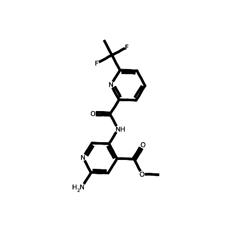 COC(=O)c1cc(N)ncc1NC(=O)c1cccc(C(C)(F)F)n1